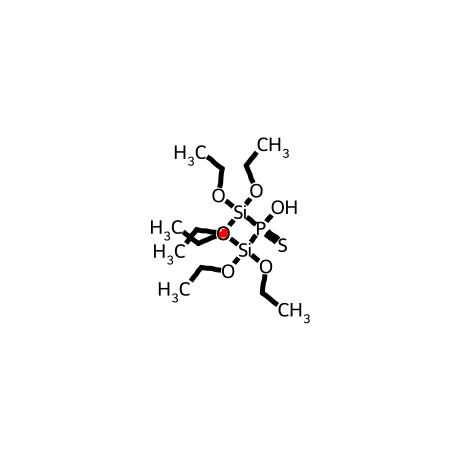 CCO[Si](OCC)(OCC)P(O)(=S)[Si](OCC)(OCC)OCC